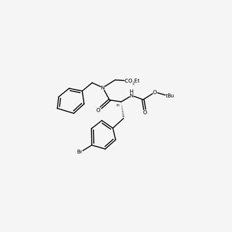 CCOC(=O)CN(Cc1ccccc1)C(=O)[C@@H](Cc1ccc(Br)cc1)NC(=O)OC(C)(C)C